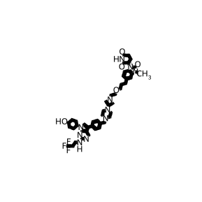 Cn1c(=O)n([C@H]2CCC(=O)NC2=O)c2ccc(CCCOCCN3CC(N4CCN(Cc5ccc(-c6cn([C@H]7CC[C@H](O)CC7)c7nc(NCCC(F)(F)F)ncc67)cc5)CC4)C3)cc21